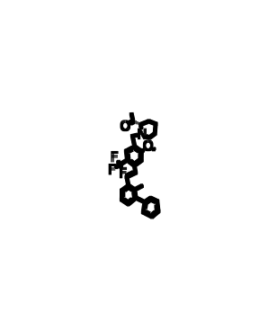 COc1cc(/C=C/c2cccc(-c3ccccc3)c2C)c(C(F)(F)F)cc1CN1CCCC[C@H]1C(C)=O